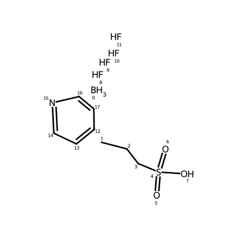 B.CCCS(=O)(=O)O.F.F.F.F.c1ccncc1